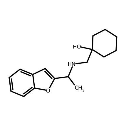 CC(NCC1(O)CCCCC1)c1cc2ccccc2o1